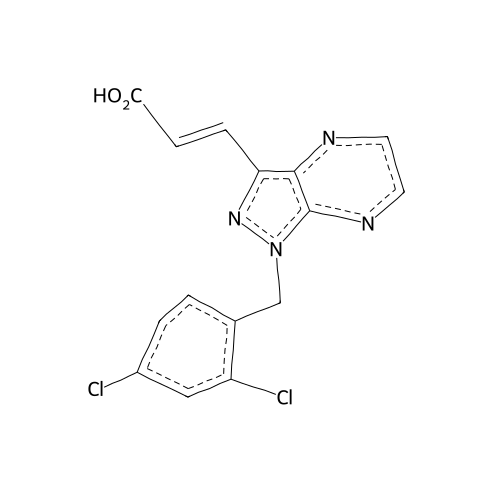 O=C(O)C=Cc1nn(Cc2ccc(Cl)cc2Cl)c2nccnc12